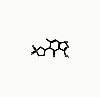 Cc1cc2[nH]nc(N)c2c(=O)n1C1CCS(=O)(=O)C1